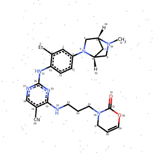 CCc1cc(N2C[C@H]3C[C@@H]2CN3C)ccc1Nc1ncc(C#N)c(NCCCN2CC=COC2=O)n1